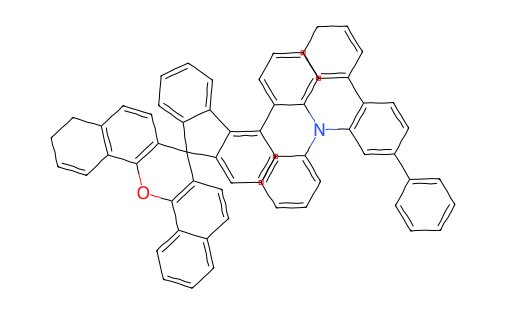 C1=CC(c2ccc(-c3ccccc3)cc2N(c2ccccc2)c2ccccc2-c2cccc3c2-c2ccccc2C32c3ccc4c(c3Oc3c2ccc2ccccc32)C=CCC4)=CCC1